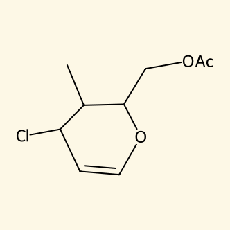 CC(=O)OCC1OC=CC(Cl)C1C